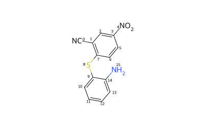 N#Cc1cc([N+](=O)[O-])ccc1Sc1ccccc1N